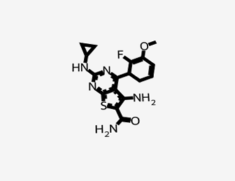 COC1=C(F)C(c2nc(NC3CC3)nc3sc(C(N)=O)c(N)c23)CC=C1